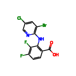 O=C(O)c1ccc(F)c(F)c1Nc1ncc(Cl)cc1Br